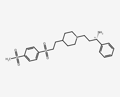 CS(=O)(=O)c1ccc(S(=O)(=O)CCC2CCN(CC[C@H](N)c3ccccc3)CC2)cc1